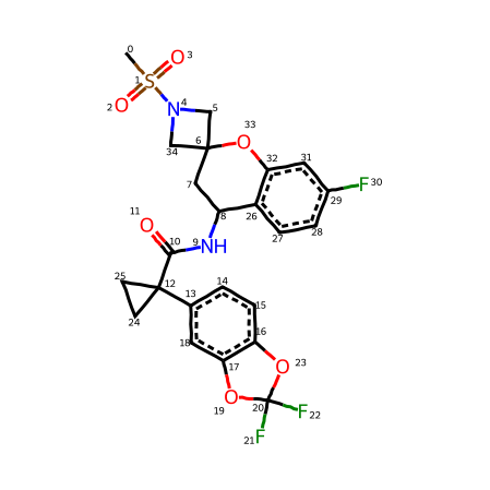 CS(=O)(=O)N1CC2(CC(NC(=O)C3(c4ccc5c(c4)OC(F)(F)O5)CC3)c3ccc(F)cc3O2)C1